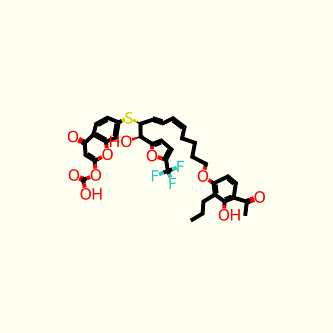 CCCc1c(OCCCC/C=C\C=C\[C@H](Sc2ccc3c(=O)cc(OC(=O)O)oc3c2)[C@H](O)c2ccc(C(F)(F)F)o2)ccc(C(C)=O)c1O